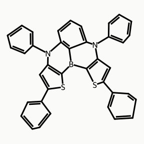 c1ccc(-c2cc3c(s2)B2c4sc(-c5ccccc5)cc4N(c4ccccc4)c4cccc(c42)N3c2ccccc2)cc1